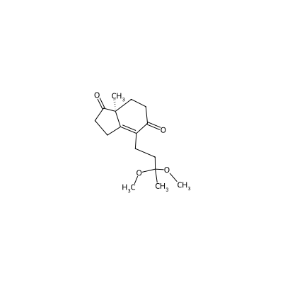 COC(C)(CCC1=C2CCC(=O)[C@@]2(C)CCC1=O)OC